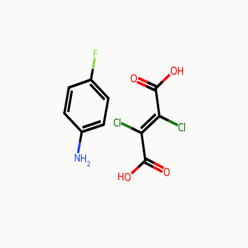 Nc1ccc(F)cc1.O=C(O)C(Cl)=C(Cl)C(=O)O